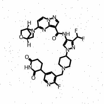 O=C1CCC(c2cnc(F)c(CN3CCC(n4cc(NC(=O)c5cnn6ccc(N7C[C@H]8C[C@@H]7CO8)nc56)c(C(F)F)n4)CC3)c2)C(=O)N1